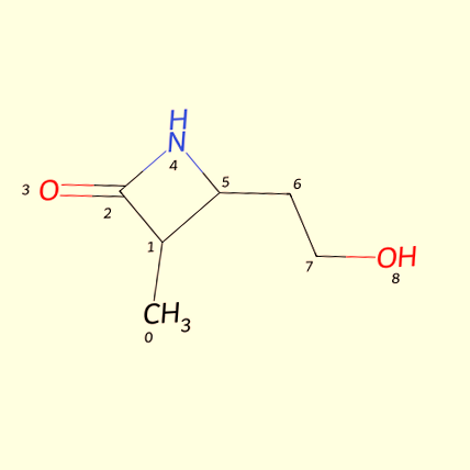 CC1C(=O)NC1CCO